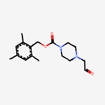 Cc1cc(C)c(COC(=O)N2CCN(C[C]=O)CC2)c(C)c1